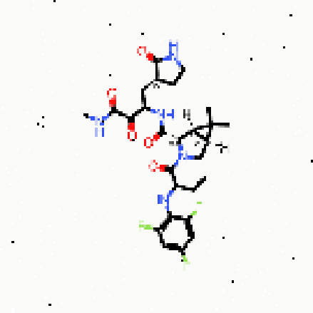 CCC(Nc1c(F)cc(F)cc1F)C(=O)N1C[C@H]2[C@@H]([C@H]1C(=O)NC(C[C@@H]1CCNC1=O)C(=O)C(=O)NC)C2(C)C